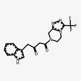 O=C(CC(=O)N1CCn2c(nnc2C(F)(F)F)C1)Cc1c[nH]c2ccccc12